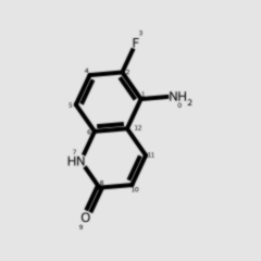 Nc1c(F)ccc2[nH]c(=O)ccc12